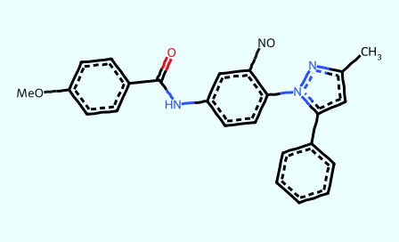 COc1ccc(C(=O)Nc2ccc(-n3nc(C)cc3-c3ccccc3)c(N=O)c2)cc1